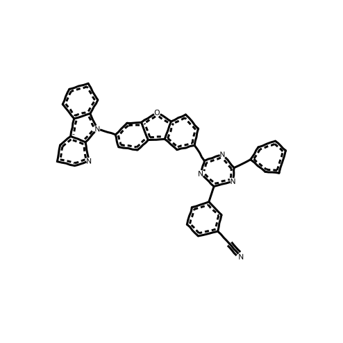 N#Cc1cccc(-c2nc(-c3ccccc3)nc(-c3ccc4oc5cc(-n6c7ccccc7c7cccnc76)ccc5c4c3)n2)c1